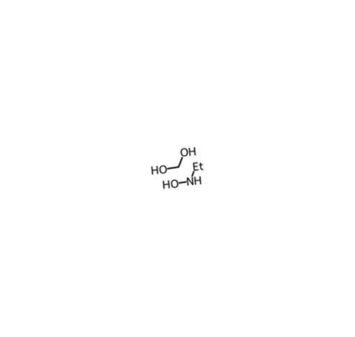 CCNO.OCO